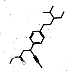 CC#CC(CC(=O)OC)c1ccc(CCC(CC)C(C)C)cc1